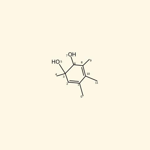 CC1=CC(C)(O)C(O)C(C)=C1C